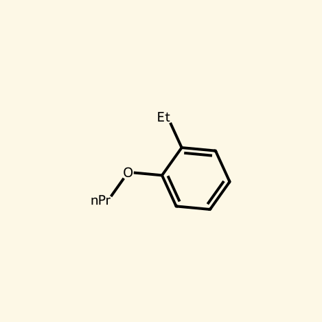 [CH2]Cc1ccccc1OCCC